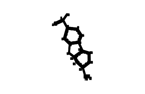 CC(=O)c1ccc2c(c1)Cc1cc(N)ccc1-2